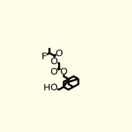 CC(F)C(=O)OCC(=O)OCC12CC3CC(CC(CO)(C3)C1)C2